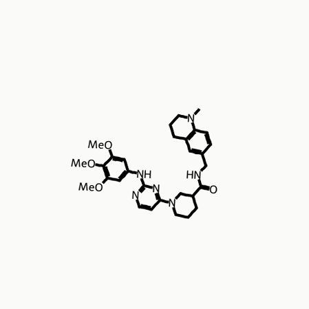 COc1cc(Nc2nccc(N3CCCC(C(=O)NCc4ccc5c(c4)CCCN5C)C3)n2)cc(OC)c1OC